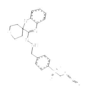 [N-]=[N+]=NCS(=O)(=O)c1ccc(CNNC2=Nc3ccccc3NC23CCOCC3)cc1